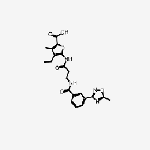 CCc1c(NC(=O)CCNC(=O)c2cccc(-c3noc(C)n3)c2)sc(C(=O)O)c1C